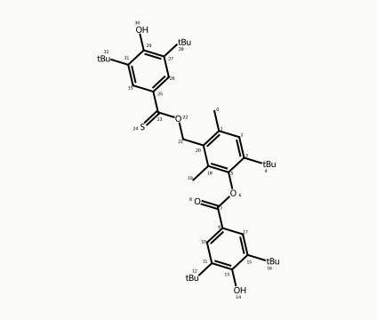 Cc1cc(C(C)(C)C)c(OC(=O)c2cc(C(C)(C)C)c(O)c(C(C)(C)C)c2)c(C)c1COC(=S)c1cc(C(C)(C)C)c(O)c(C(C)(C)C)c1